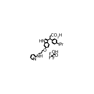 CC(C)c1ccc(C(CC(=O)O)c2c[nH]c3cc(OCCCNc4ccccn4)ccc23)cc1.O=C(O)C(F)(F)F